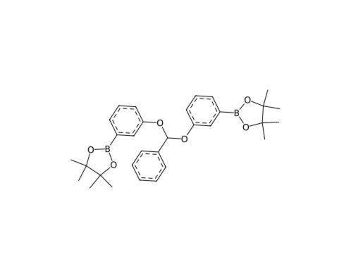 CC1(C)OB(c2cccc(OC(Oc3cccc(B4OC(C)(C)C(C)(C)O4)c3)c3ccccc3)c2)OC1(C)C